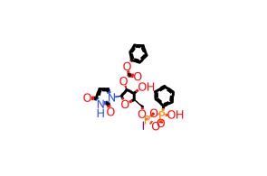 O=C(Oc1ccccc1)O[C@H]1C(O)[C@@H](COP(=O)(I)OP(=O)(O)c2ccccc2)O[C@H]1n1ccc(=O)[nH]c1=O